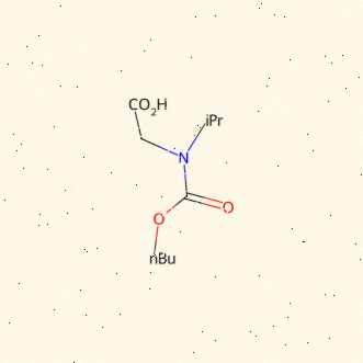 CCCCOC(=O)N(CC(=O)O)C(C)C